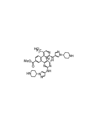 COC(=O)c1ccc(-c2nc(Nc3cnn(C4CCNCC4)c3)ncc2C(F)(F)F)c(-c2nc(Nc3cnn(C4CCNCC4)c3)ncc2C(F)(F)F)c1.Cl